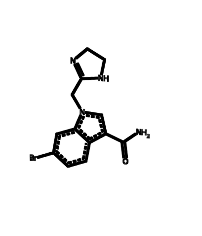 NC(=O)c1cn(CC2=NCCN2)c2cc(Br)ccc12